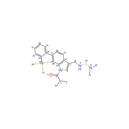 CC(C)C(=O)n1cc(CNSN(C)C)c2ccc(-c3ccccc3C(F)(F)F)cc21